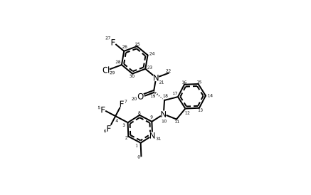 Cc1cc(C(F)(F)F)cc(N2Cc3ccccc3[C@H]2C(=O)N(C)c2ccc(F)c(Cl)c2)n1